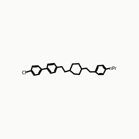 CCCc1ccc(CCC2CCC(CCc3ccc(-c4ccc(Cl)cc4)cc3)CC2)cc1